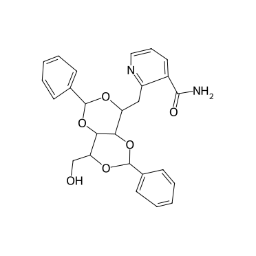 NC(=O)c1cccnc1CC1OC(c2ccccc2)OC2C(CO)OC(c3ccccc3)OC12